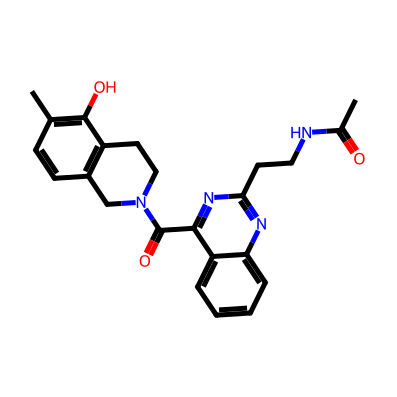 CC(=O)NCCc1nc(C(=O)N2CCc3c(ccc(C)c3O)C2)c2ccccc2n1